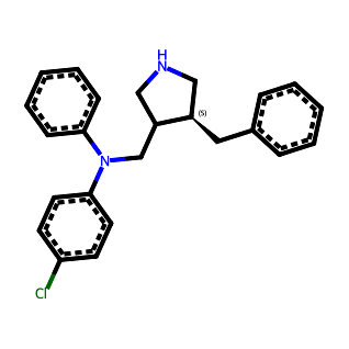 Clc1ccc(N(CC2CNC[C@H]2Cc2ccccc2)c2ccccc2)cc1